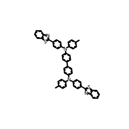 Cc1ccc(N(c2ccc(-c3ccc(N(c4ccc(C)cc4)c4ccc(-c5nc6ccccc6s5)cc4)cc3)cc2)c2ccc(-c3nc4ccccc4s3)cc2)cc1